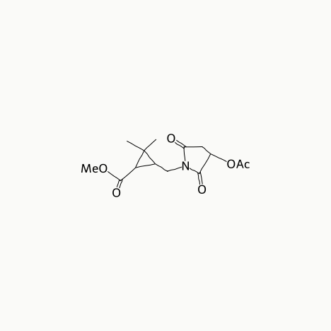 COC(=O)C1C(CN2C(=O)CC(OC(C)=O)C2=O)C1(C)C